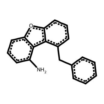 Nc1cccc2oc3cccc(Cc4ccccc4)c3c12